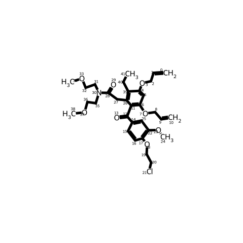 C=CCOc1cc(OCC=C)c(C(=O)c2ccc(OCCCl)c(OC)c2)c(CC(=O)N(CCOC)CCOC)c1CC